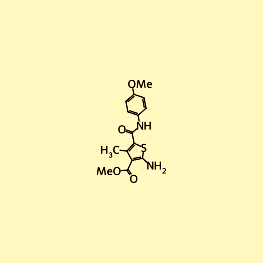 COC(=O)c1c(N)sc(C(=O)Nc2ccc(OC)cc2)c1C